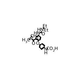 CCC(CC)NC(=O)Nc1ccc(Oc2ccc(NC(=O)O)cc2)c(C(=O)N(C)C)c1